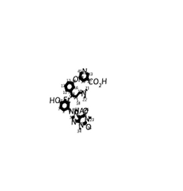 CC(=O)Nc1ccc(O)cc1.CC[C@@H](c1cccc(O)c1)[C@@H](C)CN(C)C.Cn1c(=O)c2c(ncn2C)n(C)c1=O.O=C(O)c1cccnc1